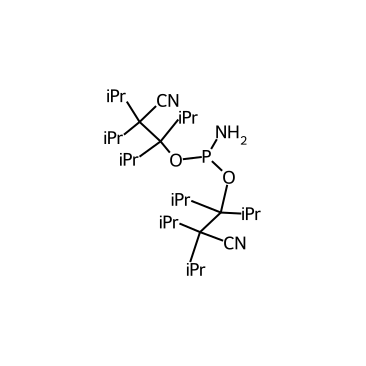 CC(C)C(C#N)(C(C)C)C(OP(N)OC(C(C)C)(C(C)C)C(C#N)(C(C)C)C(C)C)(C(C)C)C(C)C